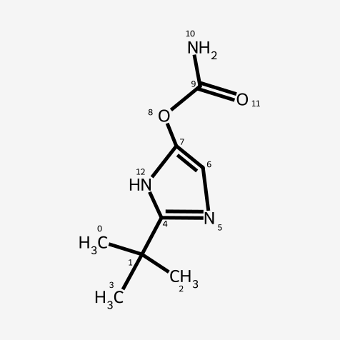 CC(C)(C)c1ncc(OC(N)=O)[nH]1